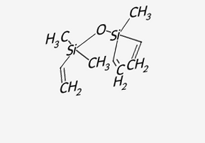 C=C[Si](C)(C)O[Si](C)(C=C)C=C